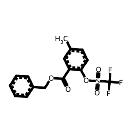 Cc1ccc(OS(=O)(=O)C(F)(F)F)c(C(=O)OCc2ccccc2)c1